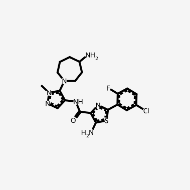 Cn1ncc(NC(=O)c2nc(-c3cc(Cl)ccc3F)sc2N)c1N1CCCC(N)CC1